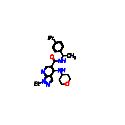 CCn1ncc2c(NC3CCOCC3)c(C(=O)NC(C)c3ccc(C(C)C)cc3)cnc21